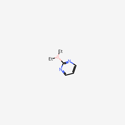 CCB(CC)c1ncccn1